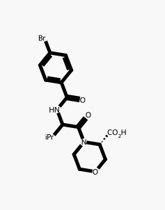 CC(C)C(NC(=O)c1ccc(Br)cc1)C(=O)N1CCOC[C@H]1C(=O)O